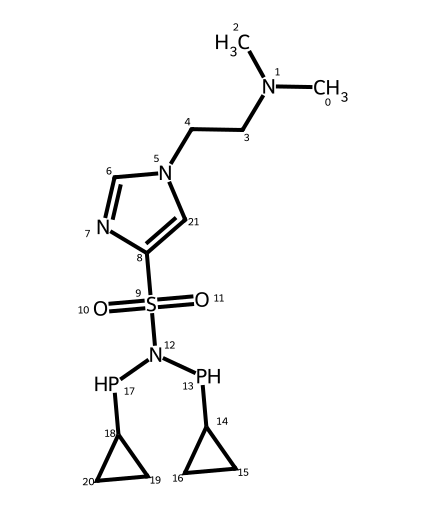 CN(C)CCn1cnc(S(=O)(=O)N(PC2CC2)PC2CC2)c1